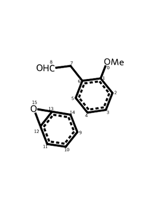 COc1ccccc1CC=O.c1ccc2c(c1)O2